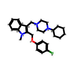 Cn1c(COc2ccc(Cl)cc2)c(CN2CCN(C3CCCCC3)CC2)c2ccccc21